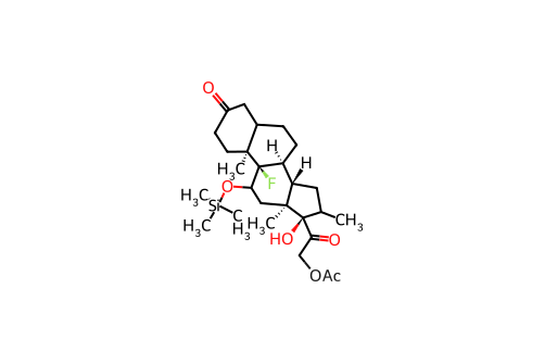 CC(=O)OCC(=O)[C@@]1(O)C(C)C[C@H]2[C@@H]3CCC4CC(=O)CC[C@]4(C)[C@@]3(F)C(O[Si](C)(C)C)C[C@@]21C